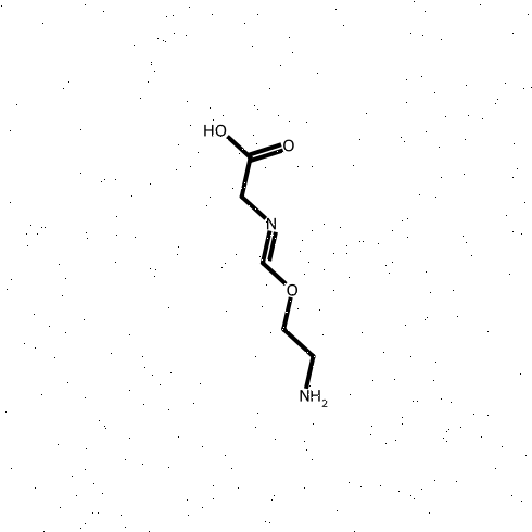 NCCOC=NCC(=O)O